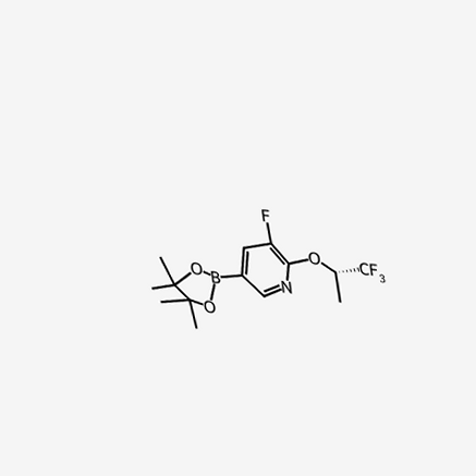 C[C@H](Oc1ncc(B2OC(C)(C)C(C)(C)O2)cc1F)C(F)(F)F